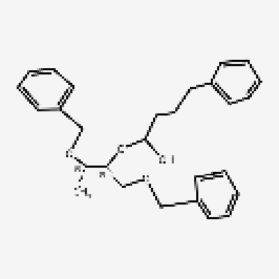 C[C@H](OCc1ccccc1)[C@@H](COCc1ccccc1)OC(O)CCCc1ccccc1